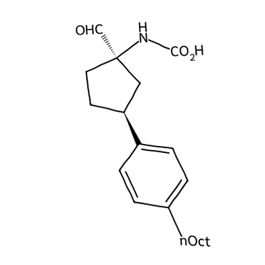 CCCCCCCCc1ccc([C@H]2CC[C@@](C=O)(NC(=O)O)C2)cc1